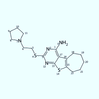 Nc1nc(SCCN2CCCC2)nc2sc3c(c12)CCCCC3